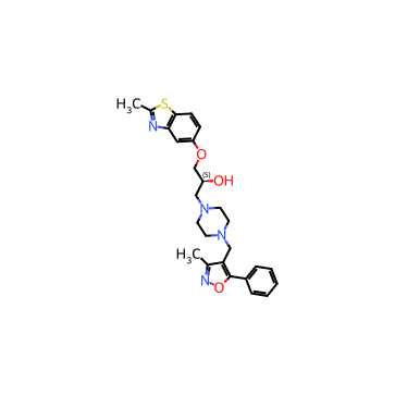 Cc1nc2cc(OC[C@@H](O)CN3CCN(Cc4c(C)noc4-c4ccccc4)CC3)ccc2s1